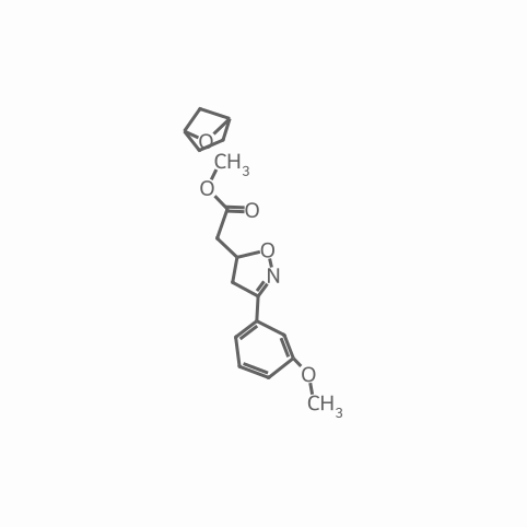 C1CC2CC1O2.COC(=O)CC1CC(c2cccc(OC)c2)=NO1